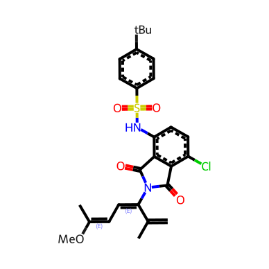 C=C(C)/C(=C\C=C(/C)OC)N1C(=O)c2c(Cl)ccc(NS(=O)(=O)c3ccc(C(C)(C)C)cc3)c2C1=O